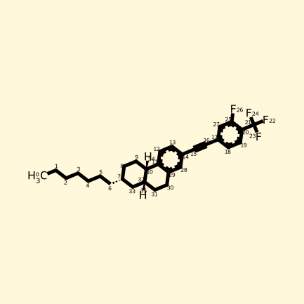 CCCCCCC[C@@H]1CC[C@@H]2c3ccc(C#Cc4ccc(C(F)(F)F)c(F)c4)cc3CC[C@@H]2C1